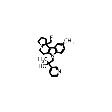 Cc1ccc2c(c1)c1c(n2CC(C)(O)c2cccnc2)CCN2CCCC12CF